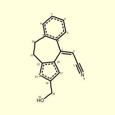 N#C/C=C1/c2ccccc2CCc2sc(CO)cc21